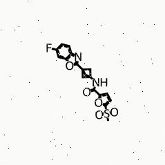 CS(=O)(=O)c1ccc(C(=O)NC23CC(c4nc5ccc(F)cc5o4)(C2)C3)o1